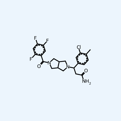 Cc1ccc(C(CC(N)=O)N2CC3CN(C(=O)c4cc(F)c(F)cc4F)CC3C2)cc1Cl